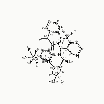 C[C@H](NC(=O)C(c1cnccc1C(F)(F)F)N(C(=O)[C@H]1C[C@@](C)(O)CN1C#N)c1ccc(S(F)(F)(F)(F)F)cc1)c1ccccc1